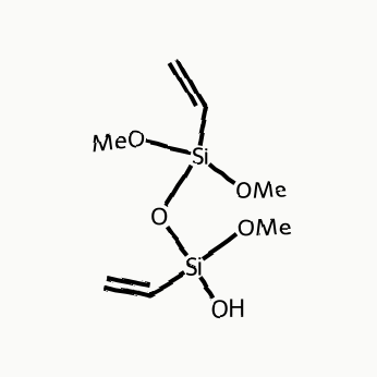 C=C[Si](O)(OC)O[Si](C=C)(OC)OC